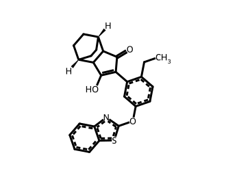 CCc1ccc(Oc2nc3ccccc3s2)cc1C1=C(O)C2C(C1=O)[C@H]1CC[C@@H]2CC1